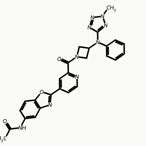 CC(=O)Nc1ccc2oc(-c3ccnc(C(=O)N4CC(N(c5ccccc5)c5nnn(C)n5)C4)c3)nc2c1